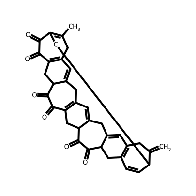 C=C1CC2=C3C=CC1CC1=C(C)CC4=C(CC5C(=O)C(=O)C6=C(C=C7CC(=C2)C(C3)C(=O)C(=O)C7C6)CC5=C4)C(=O)C1=O